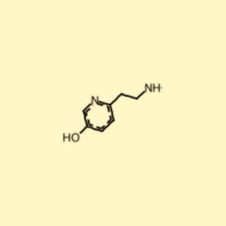 [NH]CCc1ccc(O)cn1